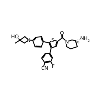 CC1(O)CN(c2ccc(-c3sc(C(=O)N4CCC[C@@H](N)C4)cc3-c3ccc(C#N)c(F)c3)cc2)C1